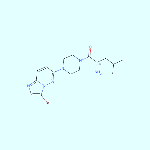 CC(C)C[C@H](N)C(=O)N1CCN(c2ccc3ncc(Br)n3n2)CC1